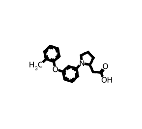 Cc1ccccc1Oc1cccc(N2CCCC2CC(=O)O)c1